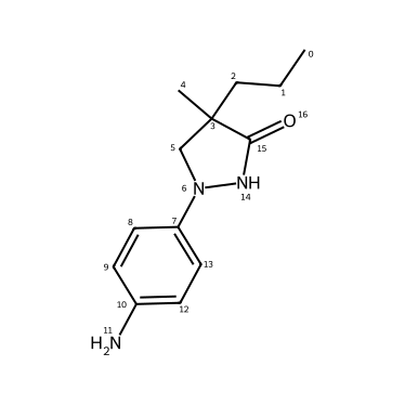 CCCC1(C)CN(c2ccc(N)cc2)NC1=O